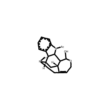 CC(=O)N1c2ccccc2[C@@]23CCN4CC5=CCOC(O)C(C12)[C@H]5C[C@H]43